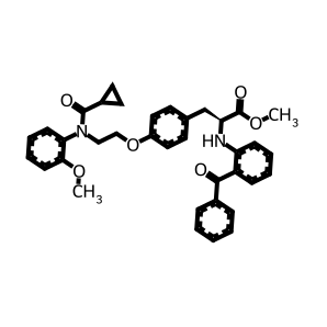 COC(=O)[C@H](Cc1ccc(OCCN(C(=O)C2CC2)c2ccccc2OC)cc1)Nc1ccccc1C(=O)c1ccccc1